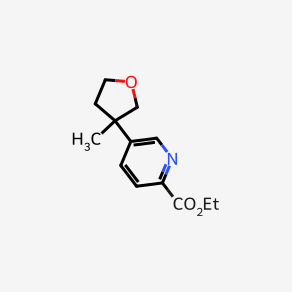 CCOC(=O)c1ccc(C2(C)CCOC2)cn1